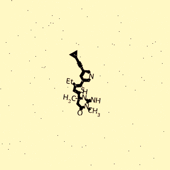 CCc1cc([C@]2(C)CC(=O)N(C)C(=N)N2)sc1-c1cncc(C#CC2CC2)c1